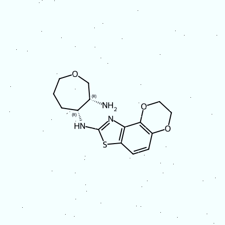 N[C@H]1COCCC[C@H]1Nc1nc2c3c(ccc2s1)OCCO3